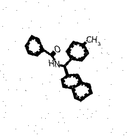 Cc1ccc(C(NC(=O)c2ccccc2)c2ccc3ccccc3c2)cc1